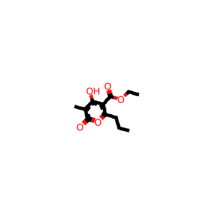 CCCc1oc(=O)c(C)c(O)c1C(=O)OCC